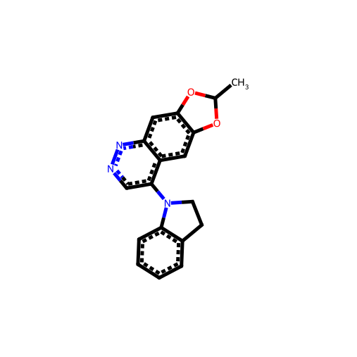 CC1Oc2cc3nncc(N4CCc5ccccc54)c3cc2O1